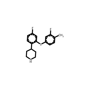 Cc1ccc(Sc2cc(F)ccc2C2CCNCC2)cc1F